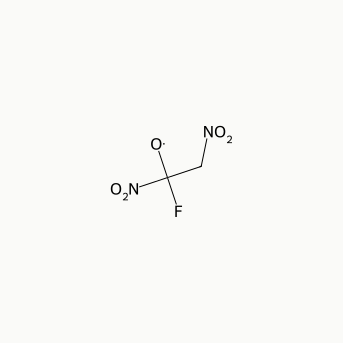 [O]C(F)(C[N+](=O)[O-])[N+](=O)[O-]